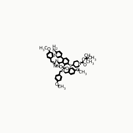 COc1ccc(CN(Cc2ccc(OC)cc2)S(=O)(=O)c2c(SC3CCN(C(=O)OC(C)(C)C)CC3)ccc(-c3ccc(N)nc3)c2-c2nnn(Cc3ccc(OC)cc3)n2)cc1